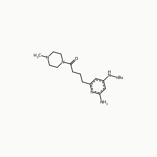 CCCCNc1cc(N)nc(CCCC(=O)N2CCN(C)CC2)c1